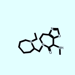 CCN1CCCCCC1CN1CCc2ncoc2C(NC)C1=O